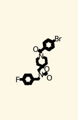 O=C1OC2(CCN(C(=O)c3ccc(Br)cc3)CC2)CN1Cc1ccc(F)cc1